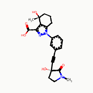 CN1CC[C@@](O)(C#Cc2cccc(-n3nc(C(=O)O)c4c3CCC[C@@]4(C)O)c2)C1=O